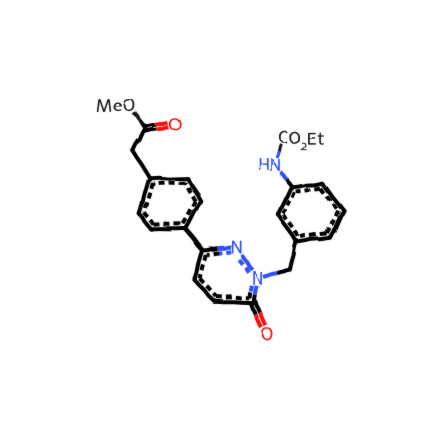 CCOC(=O)Nc1cccc(Cn2nc(-c3ccc(CC(=O)OC)cc3)ccc2=O)c1